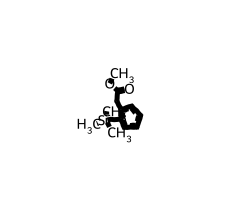 COC(=O)Cc1ccccc1[Si](C)(C)C